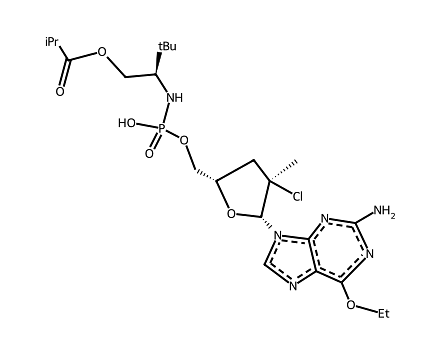 CCOc1nc(N)nc2c1ncn2[C@@H]1O[C@H](COP(=O)(O)N[C@@H](COC(=O)C(C)C)C(C)(C)C)C[C@@]1(C)Cl